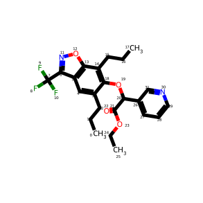 CCCc1cc2c(C(F)(F)F)noc2c(CCC)c1OC(C(=O)OCC)c1cccnc1